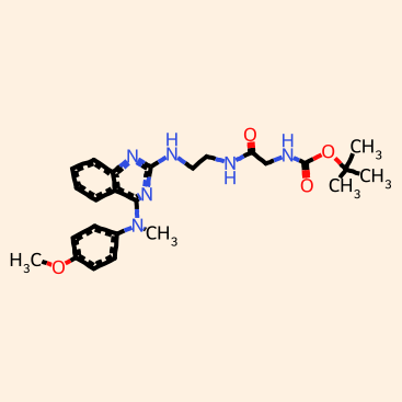 COc1ccc(N(C)c2nc(NCCNC(=O)CNC(=O)OC(C)(C)C)nc3ccccc23)cc1